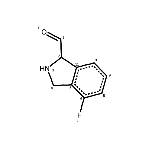 O=CC1NCc2c(F)cccc21